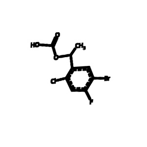 CC(OC(=O)O)c1cc(Br)c(F)cc1Cl